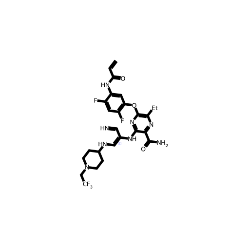 C=CC(=O)Nc1cc(Oc2nc(N/C(C=N)=C/NC3CCN(CC(F)(F)F)CC3)c(C(N)=O)nc2CC)c(F)cc1F